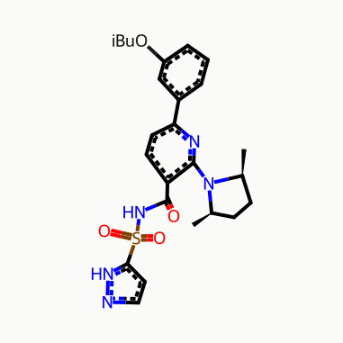 CC(C)COc1cccc(-c2ccc(C(=O)NS(=O)(=O)c3ccn[nH]3)c(N3[C@H](C)CC[C@@H]3C)n2)c1